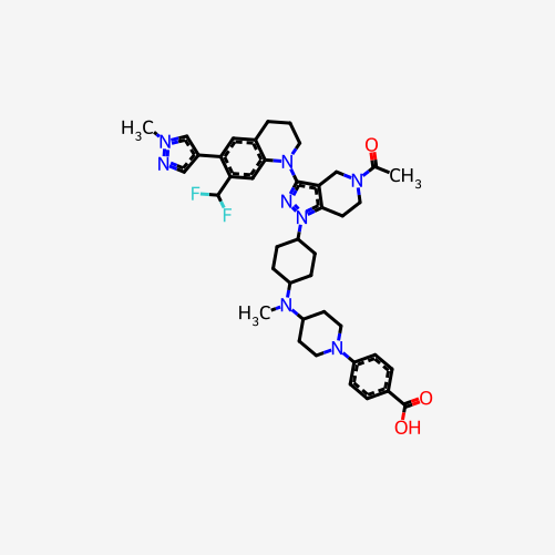 CC(=O)N1CCc2c(c(N3CCCc4cc(-c5cnn(C)c5)c(C(F)F)cc43)nn2C2CCC(N(C)C3CCN(c4ccc(C(=O)O)cc4)CC3)CC2)C1